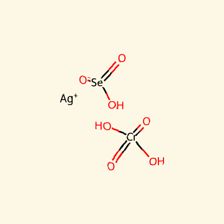 O=[Se]([O-])O.[Ag+].[O]=[Cr](=[O])([OH])[OH]